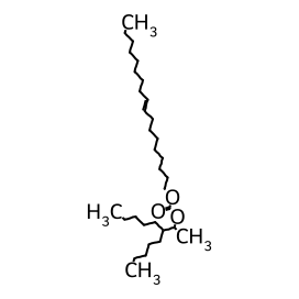 CCCCCCCC/C=C/CCCCCCCCOC(=O)OC(C)C(CCCCC)CCCCC